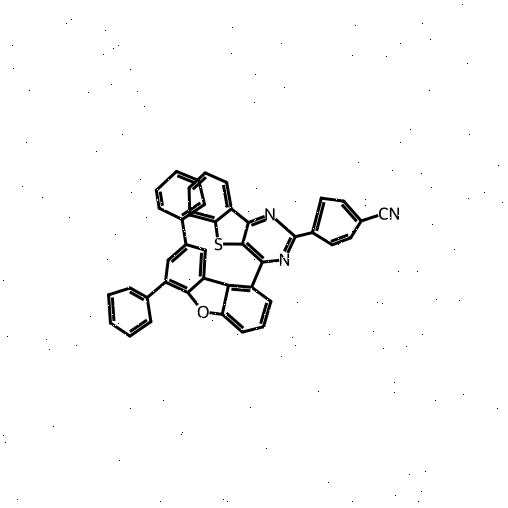 N#Cc1ccc(-c2nc(-c3cccc4oc5c(-c6ccccc6)cc(-c6ccccc6)cc5c34)c3sc4ccccc4c3n2)cc1